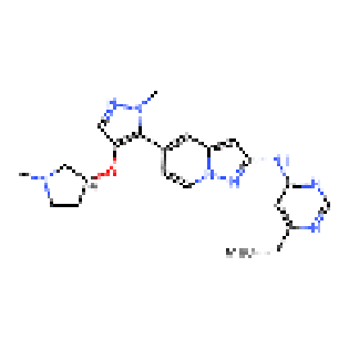 COCc1cc(Nc2cc3cc(-c4c(O[C@H]5CCN(C)C5)cnn4C)ccn3n2)ncn1